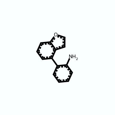 Nc1ccccc1-c1cccc2occc12